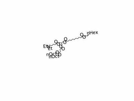 CCCCCC/C=C\COC(=O)CCCCCCCCCC(=O)OCC(COC(=O)CCCCN(CC)CC)COC(=O)CCC(OCCCCCCCC)OCCCCCCCC